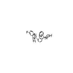 O/N=C1/c2cccc(-c3nc4ccc(F)cc4[nH]3)c2-n2cccc21